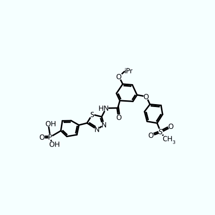 CC(C)Oc1cc(Oc2ccc(S(C)(=O)=O)cc2)cc(C(=O)Nc2nnc(-c3ccc(P(=O)(O)O)cc3)s2)c1